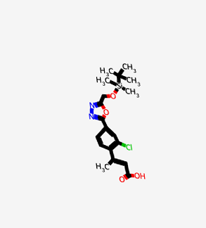 CC(=CC(=O)O)c1ccc(-c2nnc(CO[Si](C)(C)C(C)(C)C)o2)cc1Cl